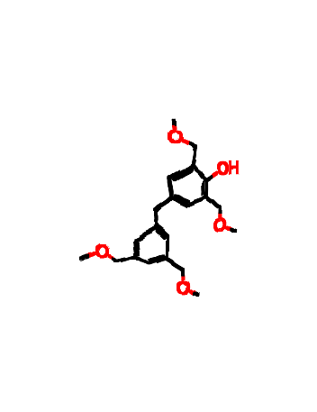 COCc1cc(COC)cc(Cc2cc(COC)c(O)c(COC)c2)c1